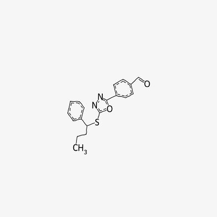 CCCC(Sc1nnc(-c2ccc(C=O)cc2)o1)c1ccccc1